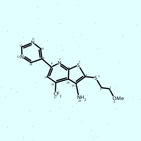 COCCSc1sc2nc(-c3cncnc3)cc(C(F)(F)F)c2c1N